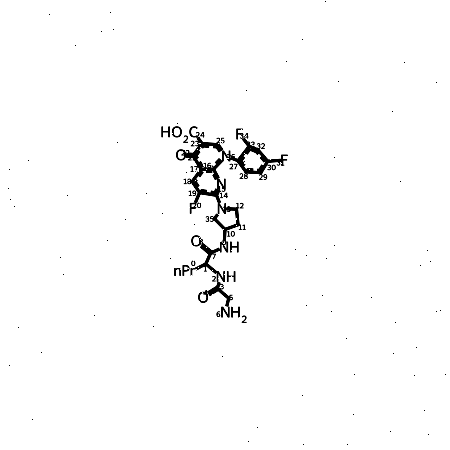 CCCC(NC(=O)CN)C(=O)NC1CCN(c2nc3c(cc2F)c(=O)c(C(=O)O)cn3-c2ccc(F)cc2F)C1